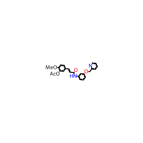 COc1ccc(C=CC(=O)Nc2cccc(OCc3ccccn3)c2)cc1OC(C)=O